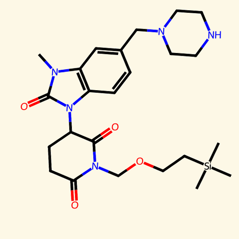 Cn1c(=O)n(C2CCC(=O)N(COCC[Si](C)(C)C)C2=O)c2ccc(CN3CCNCC3)cc21